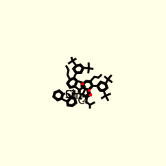 CCCc1ccc2c(c1-c1cc(C(C)(C)C)cc(C(C)(C)C)c1)C=C(CC(C)C)[CH]2[Zr]([Cl])([Cl])([c]1cccc2c1[SiH2]c1ccccc1-2)[CH]1C(CC(C)C)=Cc2c1ccc(CCC)c2-c1cc(C(C)(C)C)cc(C(C)(C)C)c1